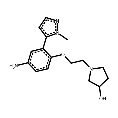 Cn1nccc1-c1cc(N)ccc1OCCN1CCC(O)C1